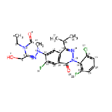 CCN(C=O)/C(CO)=N\N(C)c1cc2c(C(C)C)nn(-c3c(F)cccc3Cl)c(=O)c2cc1F